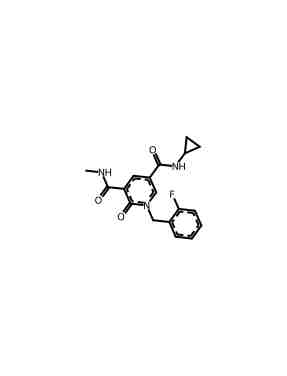 CNC(=O)c1cc(C(=O)NC2CC2)cn(Cc2ccccc2F)c1=O